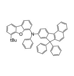 CC(C)(C)c1cccc2c1oc1c(N(c3ccccc3)c3ccc4c(c3)C(c3ccccc3)(c3ccccc3)c3ccc5ccccc5c3-4)cccc12